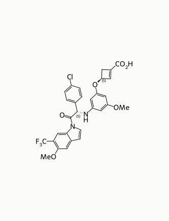 COc1cc(N[C@H](C(=O)n2ccc3cc(OC)c(C(F)(F)F)cc32)c2ccc(Cl)cc2)cc(O[C@@H]2C=C(C(=O)O)C2)c1